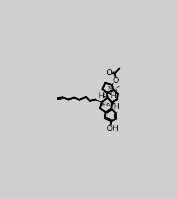 C=CCCCCCC[C@@H]1Cc2cc(O)ccc2[C@H]2CC[C@]3(C)[C@@H](OC(C)=O)CC[C@H]3[C@H]12